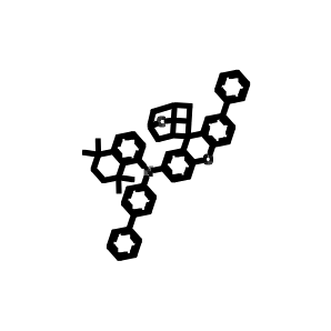 CC1(C)CCC(C)(C)c2c(N(c3ccc(-c4ccccc4)cc3)c3ccc4c(c3)C3(c5cc(-c6ccccc6)ccc5O4)C4CC5CC6CC3C64C5)cccc21